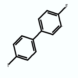 Fc1[c]cc(-c2ccc(I)cc2)cc1